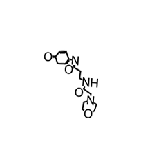 O=C1C=Cc2nc(CCNC(=O)CN3CCOCC3)oc2C1